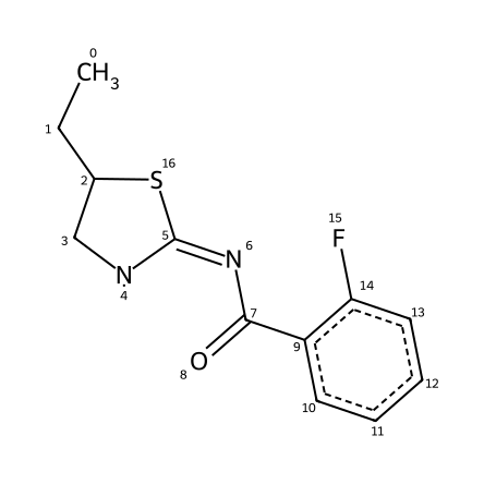 CCC1C[N]C(=NC(=O)c2ccccc2F)S1